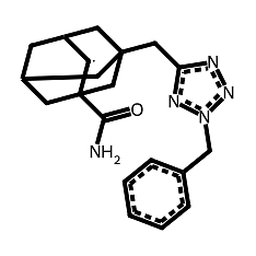 NC(=O)C12[CH]C3CC(CC(Cc4nnn(Cc5ccccc5)n4)(C3)C1)C2